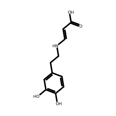 O=C(O)C=CNCCc1ccc(O)c(O)c1